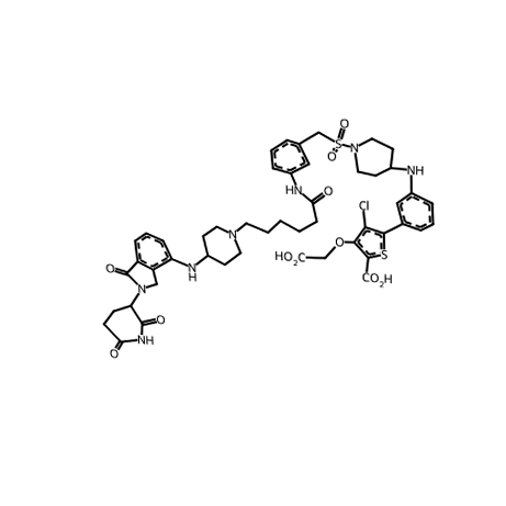 O=C(O)COc1c(C(=O)O)sc(-c2cccc(NC3CCN(S(=O)(=O)Cc4cccc(NC(=O)CCCCCN5CCC(Nc6cccc7c6CN(C6CCC(=O)NC6=O)C7=O)CC5)c4)CC3)c2)c1Cl